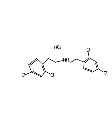 Cl.Clc1ccc(CCNCCc2ccc(Cl)cc2Cl)c(Cl)c1